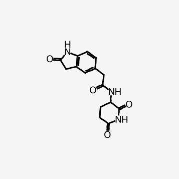 O=C1CCC(NC(=O)Cc2ccc3c(c2)CC(=O)N3)C(=O)N1